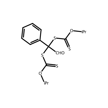 CC(C)OC(=S)SC(C=O)(SC(=S)OC(C)C)c1ccccc1